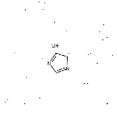 C1=NC=NC1.[LiH]